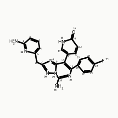 Nc1cccc(Cc2nc3c(-c4ccc(=O)[nH]c4)c(-c4ccc(F)cc4)nc(N)n3n2)n1